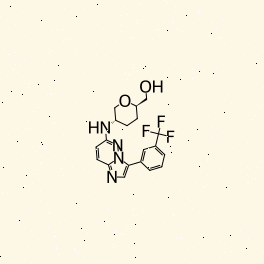 OC[C@H]1CC[C@H](Nc2ccc3ncc(-c4cccc(C(F)(F)F)c4)n3n2)CO1